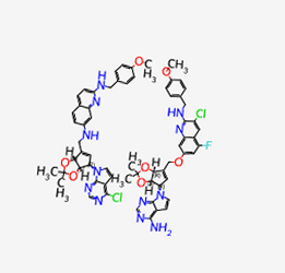 COc1ccc(CNc2ccc3ccc(NCC4=C[C@@H](n5ccc6c(Cl)ncnc65)[C@@H]5OC(C)(C)O[C@H]45)cc3n2)cc1.COc1ccc(CNc2nc3cc(OCC4=C[C@@H](n5ccc6c(N)ncnc65)[C@@H]5OC(C)(C)O[C@H]45)cc(F)c3cc2Cl)cc1